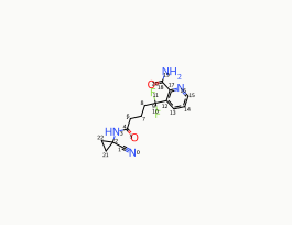 N#CC1(NC(=O)[CH]CCC(F)(F)c2cccnc2C(N)=O)CC1